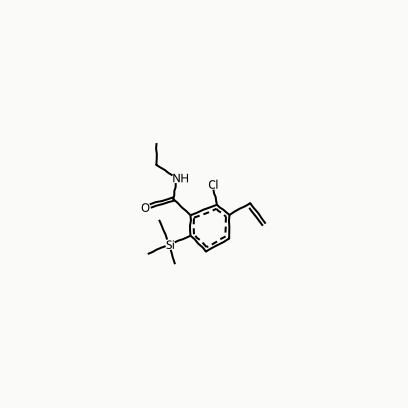 C=Cc1ccc([Si](C)(C)C)c(C(=O)NCC)c1Cl